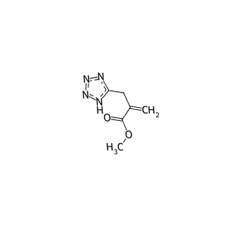 C=C(Cc1nnn[nH]1)C(=O)OC